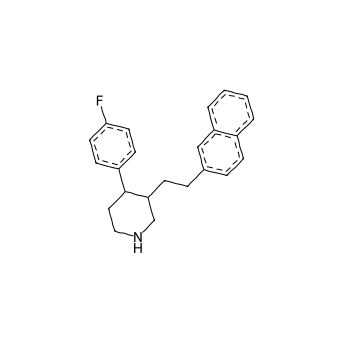 Fc1ccc(C2CCNCC2CCc2ccc3ccccc3c2)cc1